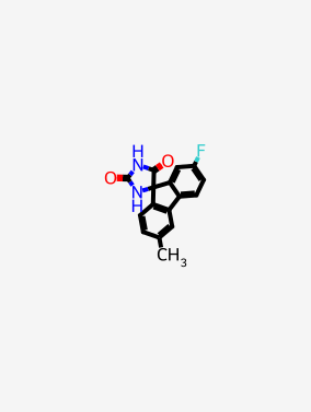 Cc1ccc2c(c1)-c1ccc(F)cc1C21NC(=O)NC1=O